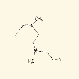 CN(CI)CCN(C)CCI